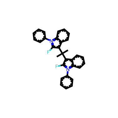 CC(C)(c1c(F)n(-c2ccccc2)c2ccccc12)c1c(F)n(-c2ccccc2)c2ccccc12